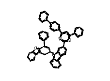 C1=C(c2ccccc2)c2oc3ccccc3c2CC1n1c2ccccc2c2ccc(-c3nc(-c4ccccc4)cc(-c4ccc(-c5ccccc5)cc4)n3)cc21